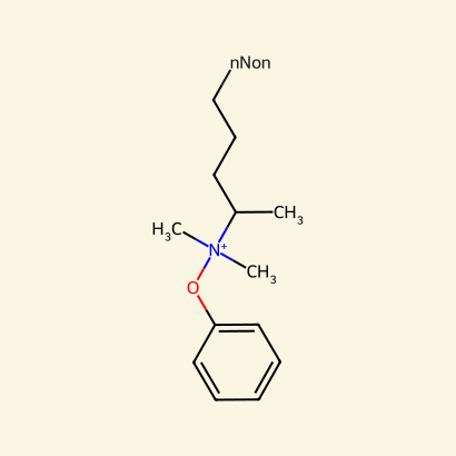 CCCCCCCCCCCCC(C)[N+](C)(C)Oc1ccccc1